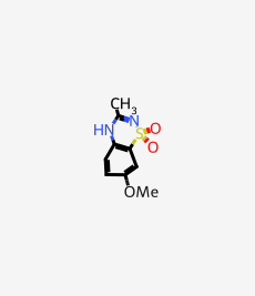 COc1ccc2c(c1)S(=O)(=O)N=C(C)N2